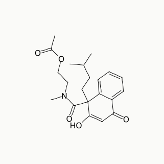 CC(=O)OCCN(C)C(=O)C1(CCC(C)C)C(O)=CC(=O)c2ccccc21